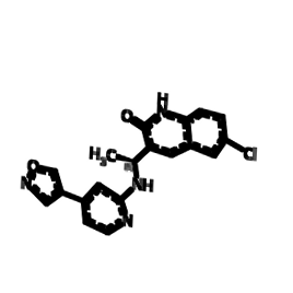 C[C@H](Nc1cc(-c2cnoc2)ccn1)c1cc2cc(Cl)ccc2[nH]c1=O